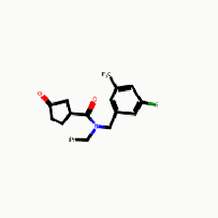 CC(C)CN(Cc1cc(F)cc(C(F)(F)F)c1)C(=O)C1CCC(=O)C1